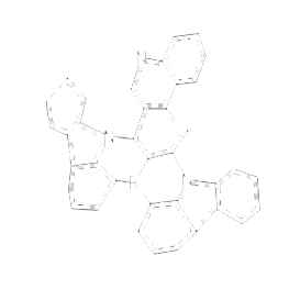 c1ccc2c(c1)ncc1c3c4c(cc12)-n1c2ccccc2c2cccc(c21)B4c1cccc2c4ccccc4n-3c12